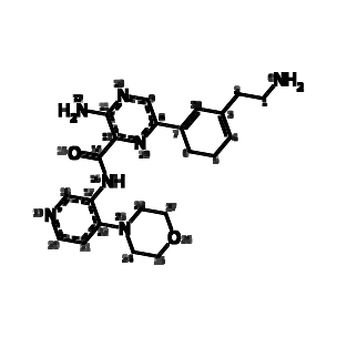 NCCC1=CCCC(c2cnc(N)c(C(=O)Nc3cnccc3N3CCOCC3)n2)=C1